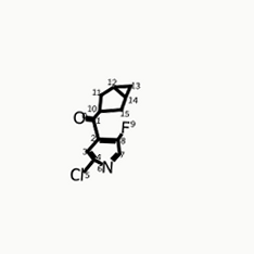 O=C(c1cc(Cl)ncc1F)C1CC2CC2C1